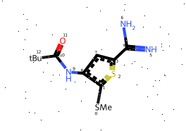 CSc1sc(C(=N)N)cc1NC(=O)C(C)(C)C